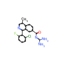 Cc1cnc(-c2c(F)cccc2Cl)c2cc(C(=O)N=C(N)N)ccc12